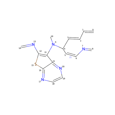 C=CC=CC(/C=C\N=C)N(C)c1c(N=C)sc2nccnc12